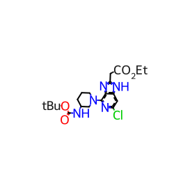 CCOC(=O)Cc1nc2c(N3CCCC(NC(=O)OC(C)(C)C)C3)nc(Cl)cc2[nH]1